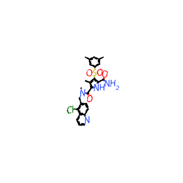 Cc1cc(C)cc(S(=O)(=O)c2c(C(N)=O)[nH]c(C(=O)N(C)Cc3ccc4ncccc4c3Cl)c2C)c1